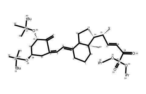 C=C1/C(=C\C=C2/CCC[C@@]3(C)C2CC[C@@H]3[C@H](C)/C=C/C(=O)P(=O)(OC(C)C)OC(C)C)C[C@@H](O[Si](C)(C)C(C)(C)C)C[C@@H]1O[Si](C)(C)C(C)(C)C